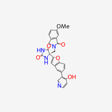 COc1ccc2c(c1)C(=O)N(C[C@@]1(c3cc4cc(-c5cnccc5O)ccc4o3)NC(=O)NC1=O)C2